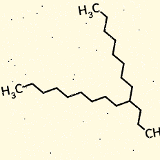 [CH2]CCC(CCCCCCCC)CCCCCCCCC